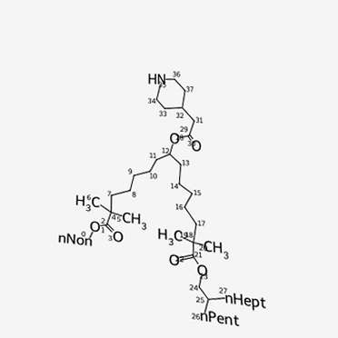 CCCCCCCCCOC(=O)C(C)(C)CCCCCC(CCCCCC(C)(C)C(=O)OCC(CCCCC)CCCCCCC)OC(=O)CC1CCNCC1